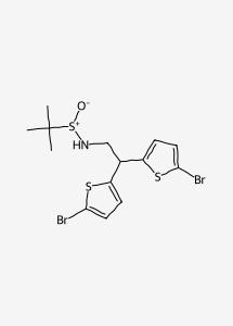 CC(C)(C)[S+]([O-])NCC(c1ccc(Br)s1)c1ccc(Br)s1